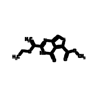 C=C(OCC)c1nc2csc(C(=O)OC)c2c(=O)[nH]1